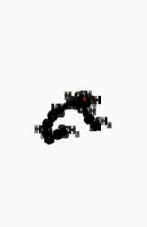 Cc1ncsc1-c1ccc(CNC(=O)[C@@H]2C[C@@H](O)CN2C(=O)[C@@H](NC(=O)COCCNC(=O)CN2CCN(c3ccc(Nc4nc5cccc(-c6ccc(S(C)(=O)=O)cc6)n5n4)cc3)CC2)C(C)(C)C)cc1